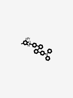 CCCc1cc(C)cc2nc(-c3ccc(-c4ccccc4-c4ccccc4-c4ccc(N(c5ccccc5)c5ccccc5)cc4)cc3)oc12